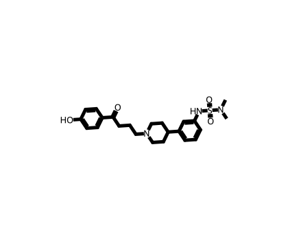 CN(C)S(=O)(=O)Nc1cccc(C2CCN(CCCC(=O)c3ccc(O)cc3)CC2)c1